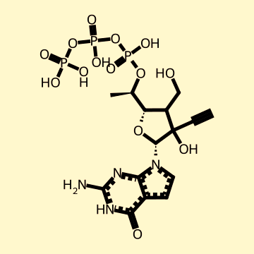 C#CC1(O)C(CO)[C@@H]([C@@H](C)OP(=O)(O)OP(=O)(O)OP(=O)(O)O)O[C@H]1n1ccc2c(=O)[nH]c(N)nc21